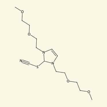 COCCOCCN1C=CN(CCOCCOC)C1SC#N